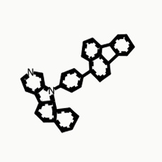 c1ccc2c(c1)-c1cccc3c(-c4ccc(-n5c6cnccc6c6ccc7ccccc7c65)cc4)ccc-2c13